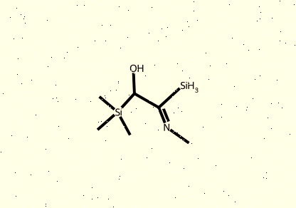 CN=C([SiH3])C(O)[Si](C)(C)C